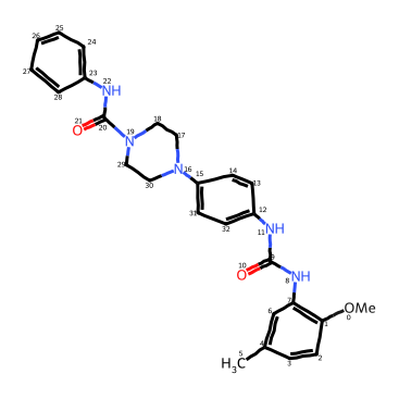 COc1ccc(C)cc1NC(=O)Nc1ccc(N2CCN(C(=O)Nc3ccccc3)CC2)cc1